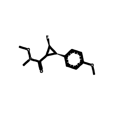 COc1ccc([C@@H]2C(C(=O)N(C)OC)[C@H]2F)cc1